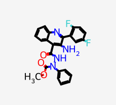 COC(=O)N(NC(=O)c1c(N)c(-c2cc(F)ccc2F)nc2ccccc12)c1ccccc1